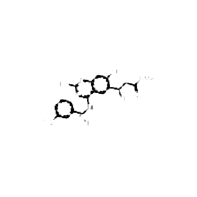 CNC(=O)CC(C)c1cc2c(N[C@H](C)c3cccc(C(F)(F)F)c3)nc(C)nc2cc1C